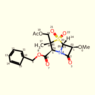 CO[C@H]1C(=O)N2[C@@H](C(=O)OCc3ccccc3)[C@](C)(COC(C)=O)S(=O)(=O)[C@H]12